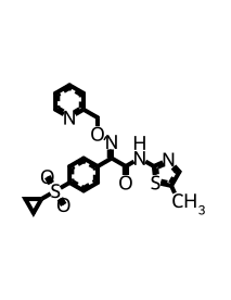 Cc1cnc(NC(=O)/C(=N/OCc2ccccn2)c2ccc(S(=O)(=O)C3CC3)cc2)s1